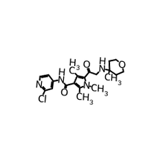 Cc1c(C(=O)Nc2ccnc(Cl)c2)c(C)n(C)c1C(=O)CNC1(C)CCOCC1